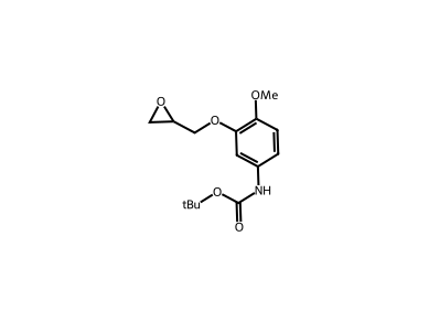 COc1ccc(NC(=O)OC(C)(C)C)cc1OCC1CO1